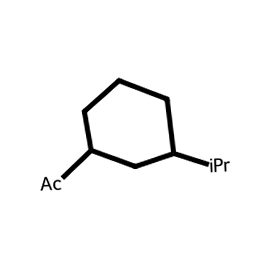 CC(=O)C1CCCC(C(C)C)C1